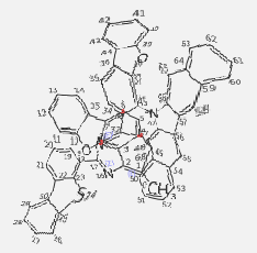 C\C1=C(c2cccc3c2oc2ccccc23)/N=C(c2cccc3c2sc2ccccc23)\N=C(\c2ccc3c(oc4ccccc43)c2-n2c3cc4ccccc4cc3c3cc4ccccc4cc32)CC1